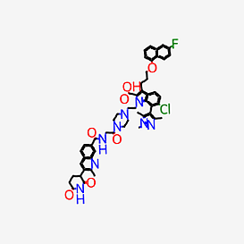 Cc1nc2cc(C(=O)NCC(=O)N3CCN(CCn4c(C(=O)O)c(CCCOc5cccc6cc(F)ccc56)c5ccc(Cl)c(-c6c(C)nn(C)c6C)c54)CC3)ccc2cc1C1CCC(=O)NC1=O